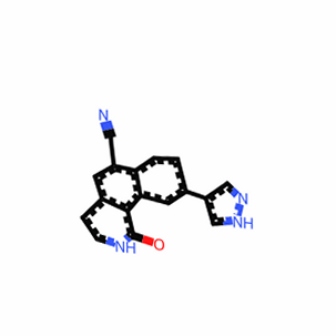 N#Cc1cc2cc[nH]c(=O)c2c2cc(-c3cn[nH]c3)ccc12